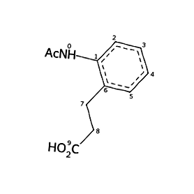 CC(=O)Nc1ccccc1CCC(=O)O